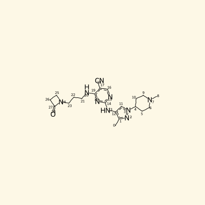 Cc1nn(C2CCN(C)CC2)cc1Nc1ncc(C#N)c(NCCCN2CCC2=O)n1